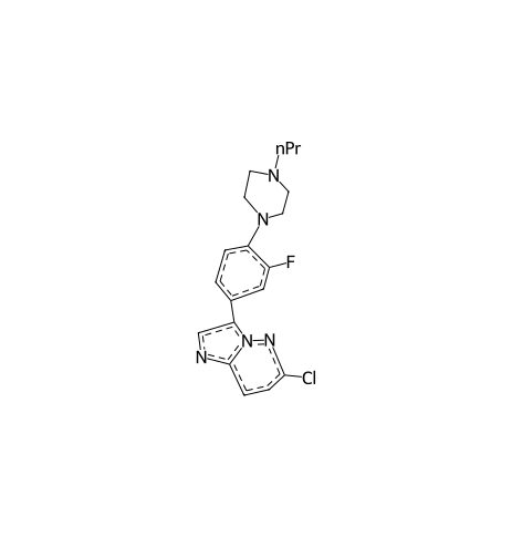 CCCN1CCN(c2ccc(-c3cnc4ccc(Cl)nn34)cc2F)CC1